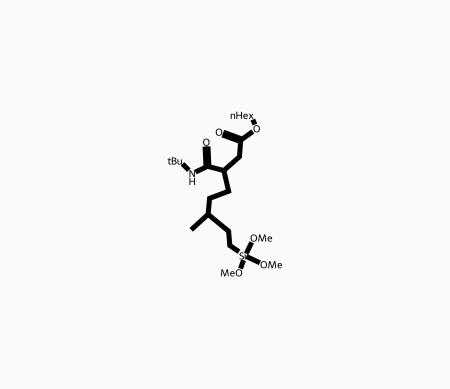 CCCCCCOC(=O)CC(CCC(C)CC[Si](OC)(OC)OC)C(=O)NC(C)(C)C